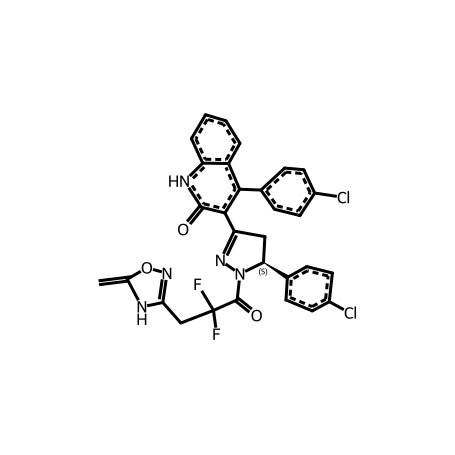 C=C1NC(CC(F)(F)C(=O)N2N=C(c3c(-c4ccc(Cl)cc4)c4ccccc4[nH]c3=O)C[C@H]2c2ccc(Cl)cc2)=NO1